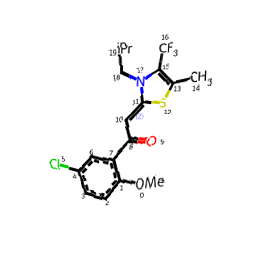 COc1ccc(Cl)cc1C(=O)/C=C1\SC(C)=C(C(F)(F)F)N1CC(C)C